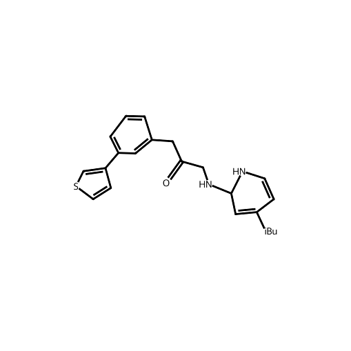 CCC(C)C1=CC(NCC(=O)Cc2cccc(-c3ccsc3)c2)NC=C1